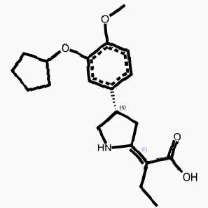 CC/C(C(=O)O)=C1/C[C@@H](c2ccc(OC)c(OC3CCCC3)c2)CN1